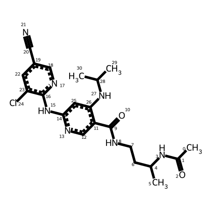 CC(=O)NC(C)CCNC(=O)c1cnc(Nc2ncc(C#N)cc2Cl)cc1NC(C)C